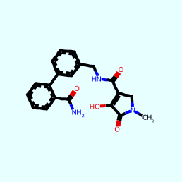 CN1CC(C(=O)NCc2cccc(-c3ccccc3C(N)=O)c2)=C(O)C1=O